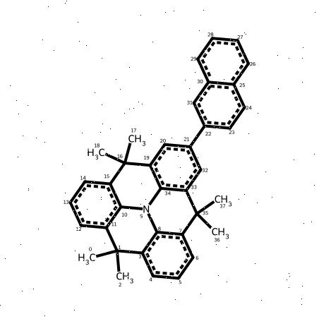 CC1(C)c2cccc3c2N2c4c1cccc4C(C)(C)c1cc(-c4ccc5ccccc5c4)cc(c12)C3(C)C